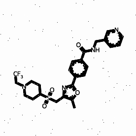 Cc1oc(-c2ccc(C(=O)NCc3cccnc3)cc2)nc1CS(=O)(=O)C1CCN(CC(F)(F)F)CC1